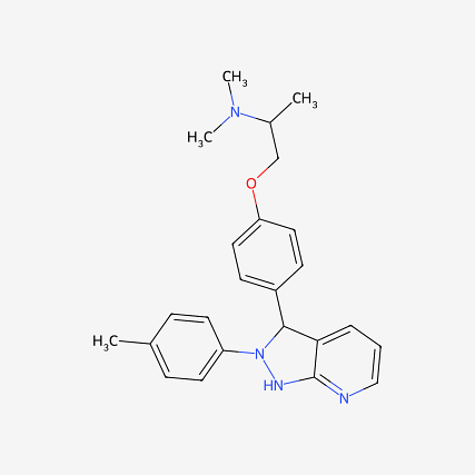 Cc1ccc(N2Nc3ncccc3C2c2ccc(OCC(C)N(C)C)cc2)cc1